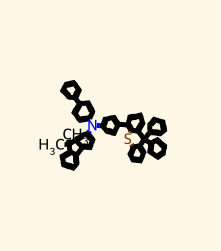 CC1(C)c2ccccc2-c2ccc(N(c3ccc(-c4ccccc4)cc3)c3ccc(-c4cccc5c4Sc4ccccc4C5(c4ccccc4)c4ccccc4)cc3)cc21